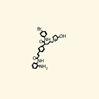 Nc1ccccc1NC(=O)/C=C/c1ccc(C(CCCN2CCC(O)C2)C(=O)Nc2ccc(Br)cc2)cc1